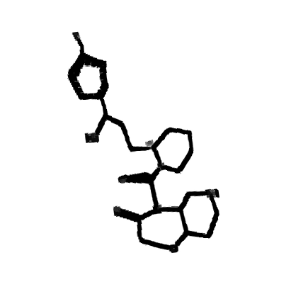 O=C1COC2CCNCC2N1C(=O)N1CCCC[C@@H]1CCC(O)c1ccc(F)cc1